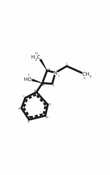 CCN1C[C@](O)(c2ccccc2)[C@H]1C